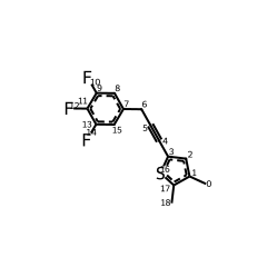 Cc1cc(C#CCc2cc(F)c(F)c(F)c2)sc1C